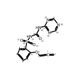 C=C=COc1ccccc1S(=O)(=O)NC(=O)Nc1ncncn1